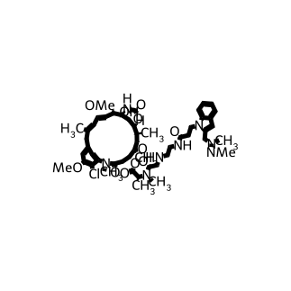 CNN(C)Cc1cc2ccccc2n1CCC(=O)NCCNCC(=O)N(C)[C@@H](C)C(=O)O[C@H]1CC(=O)N(C)c2cc(cc(OC)c2Cl)C/C(C)=C/C=C/[C@@H](OC)[C@@]2(O)C[C@H](OC(=O)N2)[C@@H](C)C2O[C@]21C